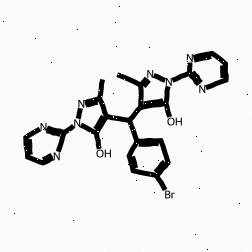 Cc1nn(-c2ncccn2)c(O)c1C(c1ccc(Br)cc1)c1c(C)nn(-c2ncccn2)c1O